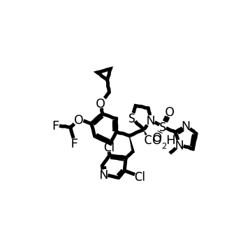 Cn1ccnc1S(=O)(=O)N1CCS[C@]1(C(=O)O)[C@@H](Cc1c(Cl)cncc1Cl)c1ccc(OC(F)F)c(OCC2CC2)c1